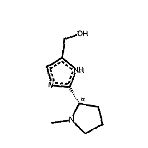 CN1CCC[C@H]1c1ncc(CO)[nH]1